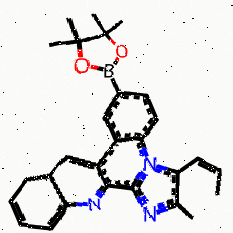 C/C=C\c1c(C)nc2c3c(c4cc(B5OC(C)(C)C(C)(C)O5)ccc4n12)=CC1CC=CC=C1N=3